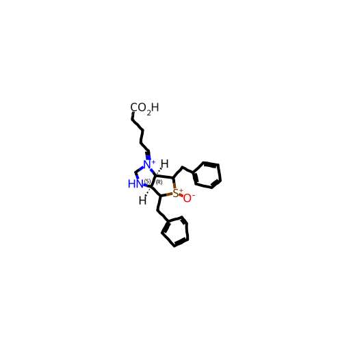 O=C(O)CCCC=[N+]1CN[C@@H]2C(Cc3ccccc3)[S+]([O-])C(Cc3ccccc3)[C@@H]21